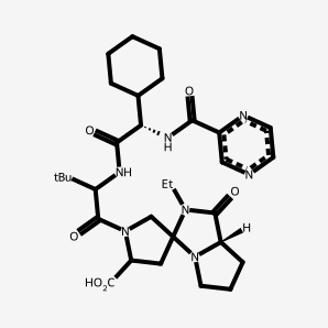 CCN1C(=O)[C@@H]2CCCN2C12CC(C(=O)O)N(C(=O)C(NC(=O)[C@@H](NC(=O)c1cnccn1)C1CCCCC1)C(C)(C)C)C2